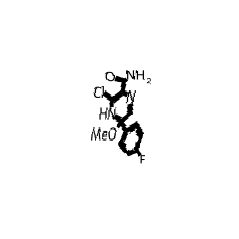 COC1(c2ccc(F)cc2)C=NC(C(N)=O)=C(Cl)N1